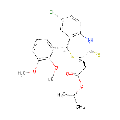 COc1cccc([C@H]2S[C@H](CC(=O)OC(C)C)C(=S)Nc3ccc(Cl)cc32)c1OC